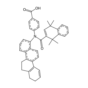 CC1(C)C=C(C(=O)N(c2ccc(C(=O)O)cc2)c2cccc3c4c(ccc23)C2=C(CCC=C2)CC4)C(C)(C)c2ccccc21